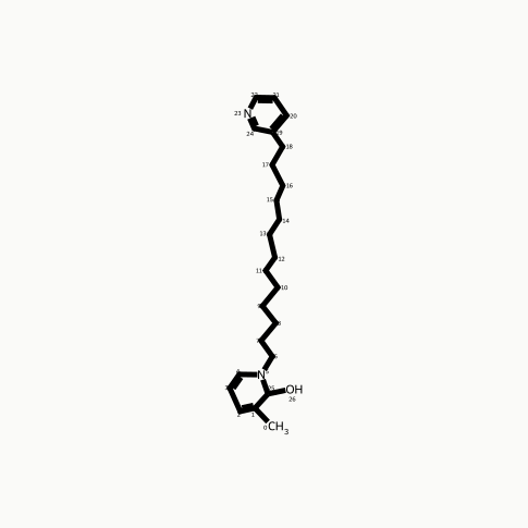 CC1=CC=CN(CCCCCCCCCCCCCc2cccnc2)C1O